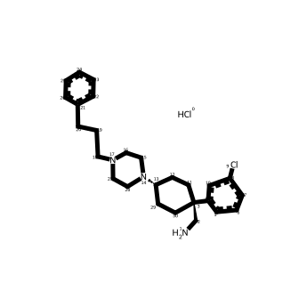 Cl.NC[C@]1(c2cccc(Cl)c2)CC[C@@H](N2CCN(CCCc3ccccc3)CC2)CC1